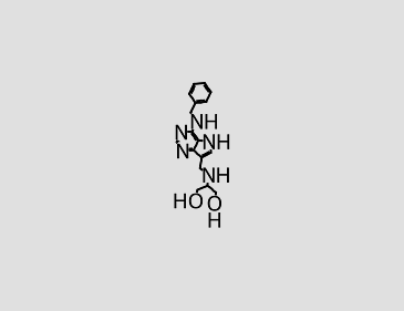 OCC(CO)NCc1c[nH]c2c(NCc3ccccc3)ncnc12